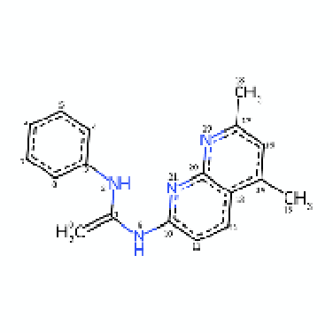 C=C(Nc1ccccc1)Nc1ccc2c(C)cc(C)nc2n1